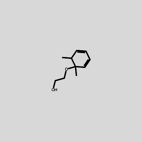 CC1C=CC=CC1(C)OCCO